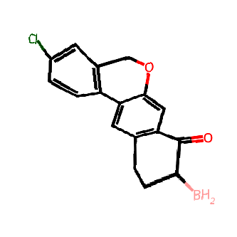 BC1CCc2cc3c(cc2C1=O)OCc1cc(Cl)ccc1-3